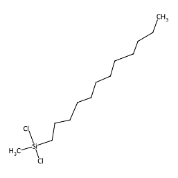 CCCCCCCCCCCC[Si](C)(Cl)Cl